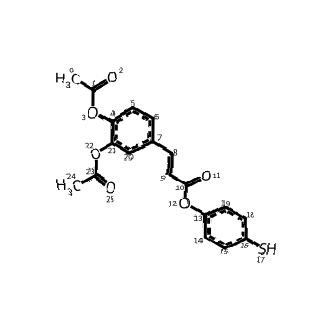 CC(=O)Oc1ccc(/C=C/C(=O)Oc2ccc(S)cc2)cc1OC(C)=O